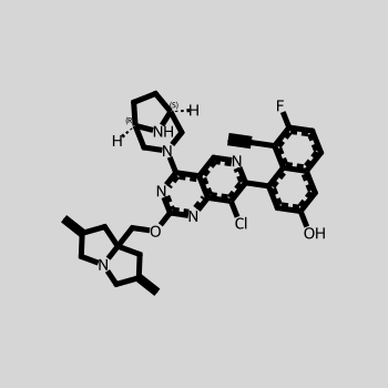 C#Cc1c(F)ccc2cc(O)cc(-c3ncc4c(N5C[C@H]6CC[C@@H](C5)N6)nc(OCC56CC(=C)CN5CC(=C)C6)nc4c3Cl)c12